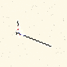 CCCCCCCCCCCCCCCCCCNC(=O)C(NC(=O)OCCCC)C(C)C